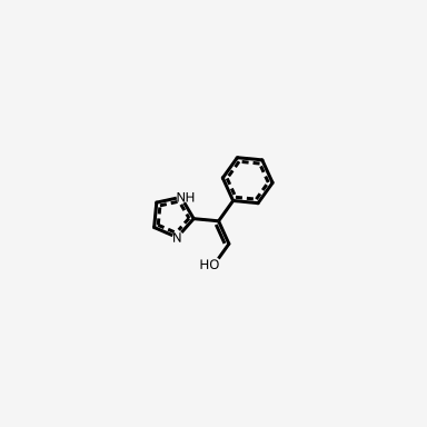 OC=C(c1ccccc1)c1ncc[nH]1